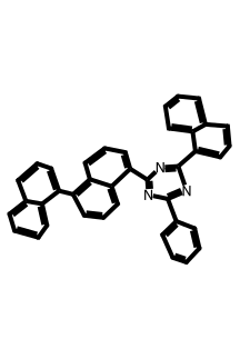 c1ccc(-c2nc(-c3cccc4ccccc34)nc(-c3cccc4c(-c5cccc6ccccc56)cccc34)n2)cc1